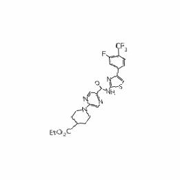 CCOC(=O)C1CCN(c2cnc(C(=O)Nc3nc(-c4ccc(C(F)(F)F)c(F)c4)cs3)cn2)CC1